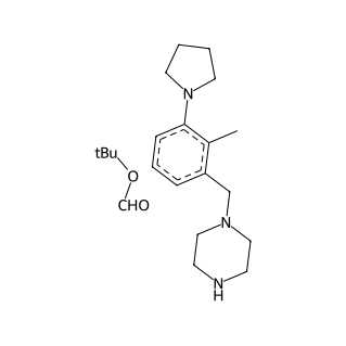 CC(C)(C)OC=O.Cc1c(CN2CCNCC2)cccc1N1CCCC1